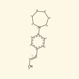 N#C/C=C/c1ccc(N2CCCCCC2)cc1